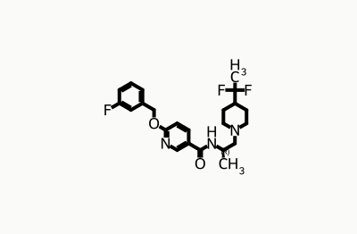 C[C@H](CN1CCC(C(C)(F)F)CC1)NC(=O)c1ccc(OCc2cccc(F)c2)nc1